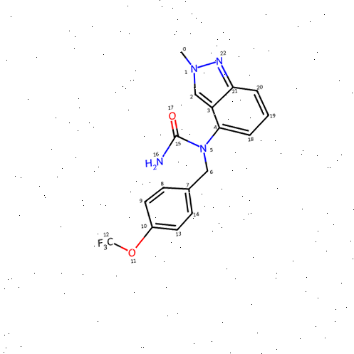 Cn1cc2c(N(Cc3ccc(OC(F)(F)F)cc3)C(N)=O)cccc2n1